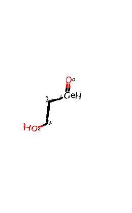 [O]=[GeH][CH2]CO